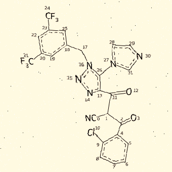 N#CC(C(=O)c1ccccc1Cl)C(=O)c1nnn(Cc2cc(C(F)(F)F)cc(C(F)(F)F)c2)c1-n1ccnc1